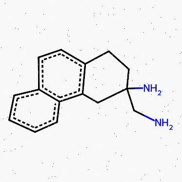 NCC1(N)CCc2ccc3ccccc3c2C1